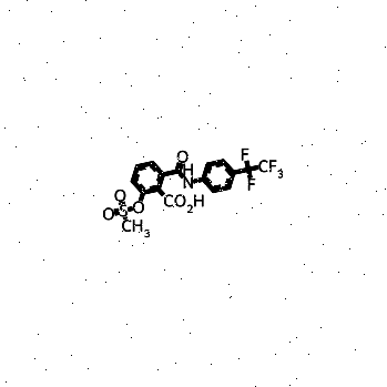 CS(=O)(=O)Oc1cccc(C(=O)Nc2ccc(C(F)(F)C(F)(F)F)cc2)c1C(=O)O